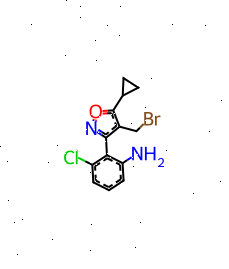 Nc1cccc(Cl)c1-c1noc(C2CC2)c1CBr